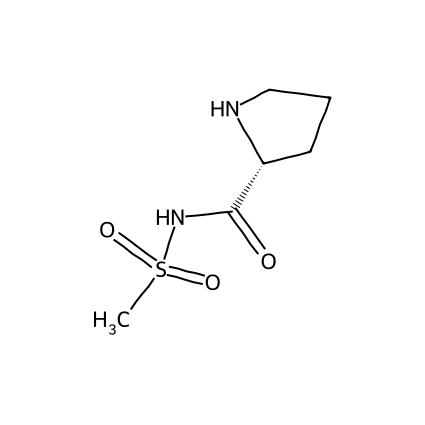 CS(=O)(=O)NC(=O)[C@H]1CCCN1